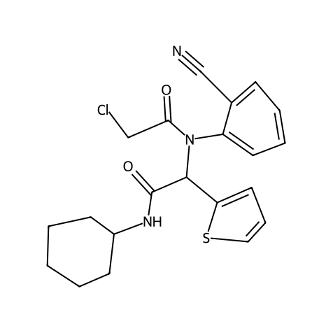 N#Cc1ccccc1N(C(=O)CCl)C(C(=O)NC1CCCCC1)c1cccs1